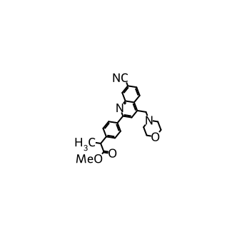 COC(=O)C(C)c1ccc(-c2cc(CN3CCOCC3)c3ccc(C#N)cc3n2)cc1